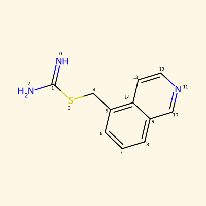 N=C(N)SCc1cccc2cnccc12